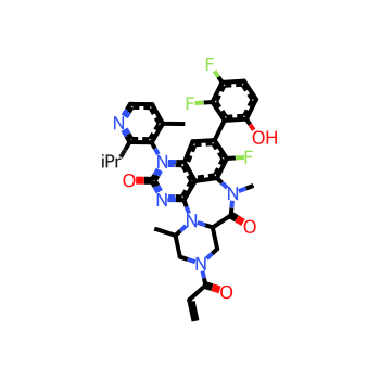 C=CC(=O)N1CC(C)N2c3nc(=O)n(-c4c(C)ccnc4C(C)C)c4cc(-c5c(O)ccc(F)c5F)c(F)c(c34)N(C)C(=O)C2C1